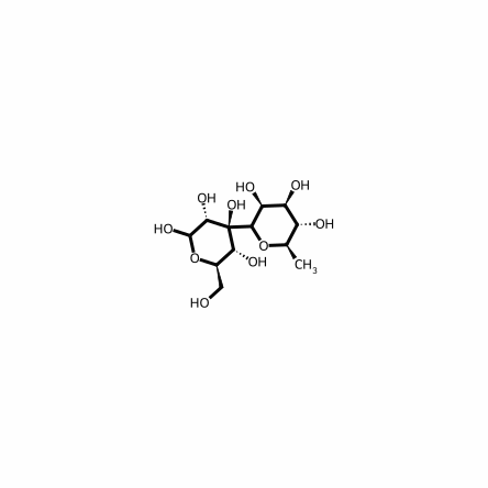 C[C@H]1OC([C@]2(O)[C@H](O)[C@@H](CO)OC(O)[C@@H]2O)[C@@H](O)[C@@H](O)[C@@H]1O